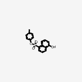 Cc1ccc(OS(=O)(=O)c2cccc3c(O)cccc23)cc1